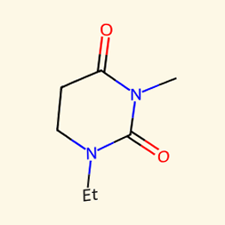 CCN1CCC(=O)N(C)C1=O